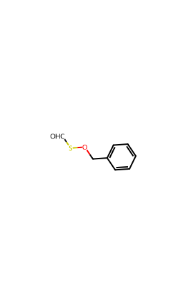 O=CSOCc1ccccc1